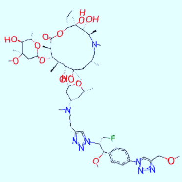 CC[C@H]1OC(=O)[C@H](C)[C@@H](O[C@H]2C[C@@](C)(OC)[C@@H](O)[C@H](C)O2)[C@H](C)[C@@H](O[C@H]2C[C@@H](N(C)CCc3cn([C@H](CF)[C@H](OC)c4ccc(-n5cc(COC)nn5)cc4)nn3)C[C@@H](C)O2)[C@](C)(O)C[C@@H](C)CN(C)[C@H](C)[C@@H](O)[C@]1(C)O